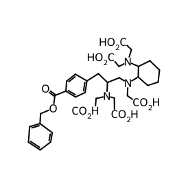 O=C(O)CN(CC(=O)O)C(Cc1ccc(C(=O)OCc2ccccc2)cc1)CN(CC(=O)O)C1CCCCC1N(CC(=O)O)CC(=O)O